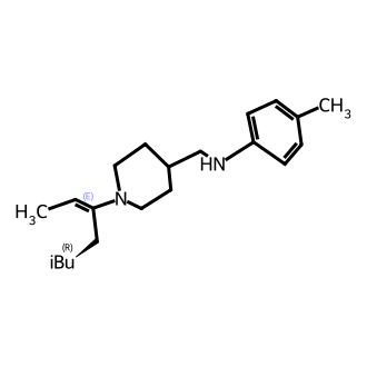 C/C=C(\C[C@H](C)CC)N1CCC(CNc2ccc(C)cc2)CC1